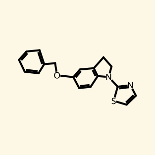 c1ccc(COc2ccc3c(c2)CCN3c2nccs2)cc1